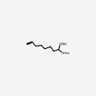 C=CCC[CH]CCC(CCCCCC)OC